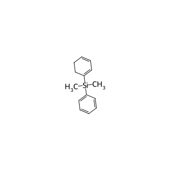 C[Si](C)(C1=CC=CCC1)c1ccccc1